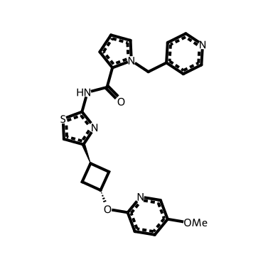 COc1ccc(O[C@H]2C[C@H](c3csc(NC(=O)c4cccn4Cc4ccncc4)n3)C2)nc1